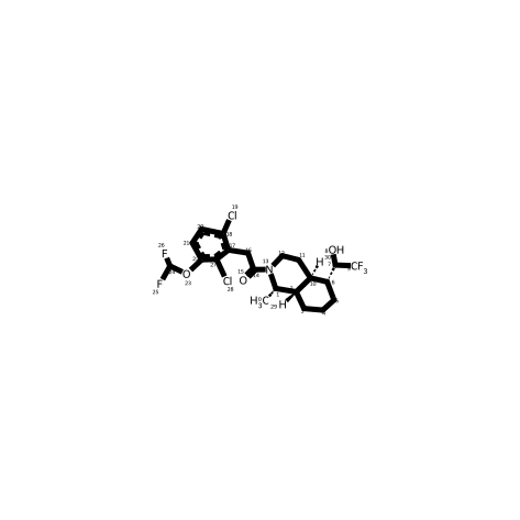 C[C@H]1[C@H]2CCC[C@@H](C(O)C(F)(F)F)[C@@H]2CCN1C(=O)Cc1c(Cl)ccc(OC(F)F)c1Cl